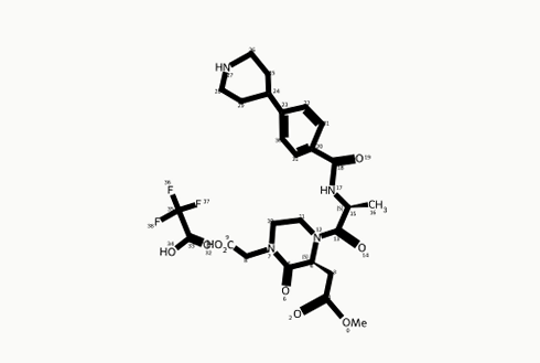 COC(=O)C[C@H]1C(=O)N(CC(=O)O)CCN1C(=O)[C@H](C)NC(=O)c1ccc(C2CCNCC2)cc1.O=C(O)C(F)(F)F